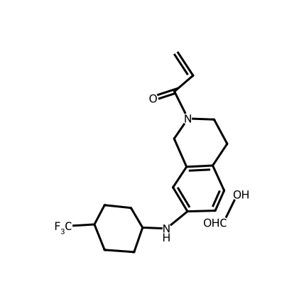 C=CC(=O)N1CCc2ccc(NC3CCC(C(F)(F)F)CC3)cc2C1.O=CO